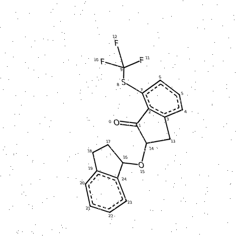 O=C1c2c(cccc2SC(F)(F)F)CC1OC1CCc2ccccc21